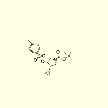 Cc1ccc(S(=O)(=O)OC2CN(C(=O)OC(C)(C)C)CC2C2CC2)cc1